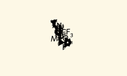 COc1cccc(F)c1[C@@H]1C[C@H]1COc1ccn2c(CC3CC3)nnc2c1C(F)(F)F